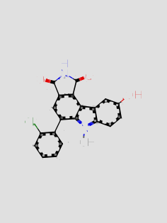 Cn1c2ccc(O)cc2c2c3c(cc(-c4ccccc4Cl)c21)C(=O)NC3=O